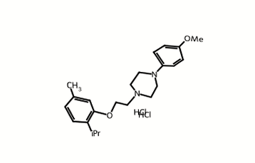 COc1ccc(N2CCN(CCOc3cc(C)ccc3C(C)C)CC2)cc1.Cl.Cl